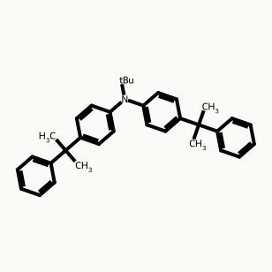 CC(C)(c1ccccc1)c1ccc(N(c2ccc(C(C)(C)c3ccccc3)cc2)C(C)(C)C)cc1